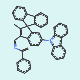 C=C(/N=C\C1=C(C)C2(c3cc(-n4c5ccccc5c5ccccc54)ccc31)c1ccccc1-c1ccccc12)c1ccccc1